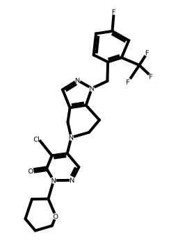 O=c1c(Cl)c(N2CCc3c(cnn3Cc3ccc(F)cc3C(F)(F)F)C2)cnn1C1CCCCO1